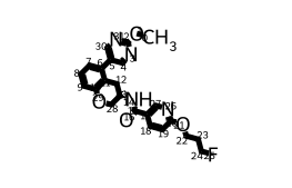 COc1ncc(-c2cccc3c2C[C@H](NC(=O)c2ccc(OCCCF)nc2)CO3)cn1